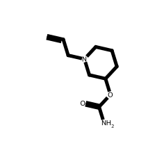 C=CCN1CCCC(OC(N)=O)C1